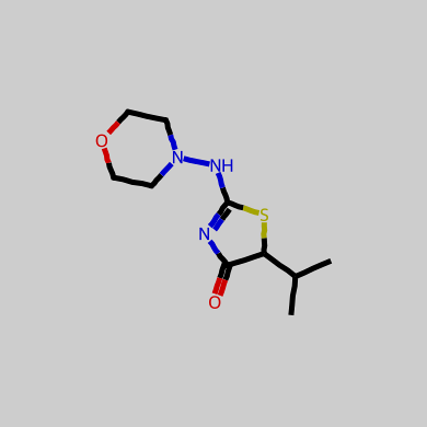 CC(C)C1SC(NN2CCOCC2)=NC1=O